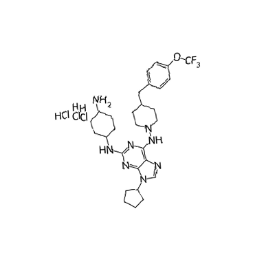 Cl.Cl.Cl.NC1CCC(Nc2nc(NN3CCC(Cc4ccc(OC(F)(F)F)cc4)CC3)c3ncn(C4CCCC4)c3n2)CC1